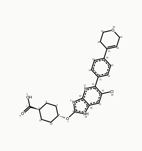 O=C(O)[C@H]1CC[C@H](Oc2nc3nc(-c4ccc(C5=CCOCC5)cc4)c(Cl)cc3[nH]2)CC1